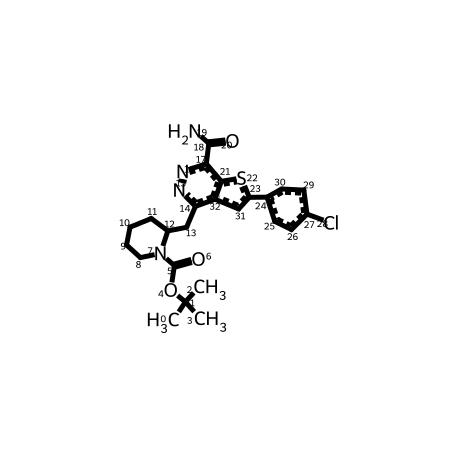 CC(C)(C)OC(=O)N1CCCCC1Cc1nnc(C(N)=O)c2sc(-c3ccc(Cl)cc3)cc12